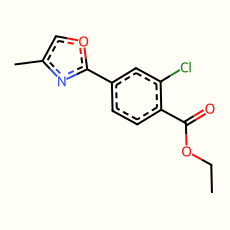 CCOC(=O)c1ccc(-c2nc(C)co2)cc1Cl